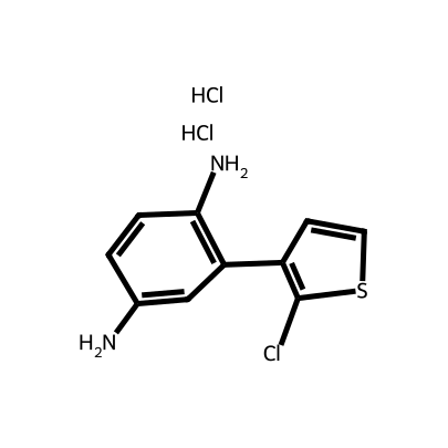 Cl.Cl.Nc1ccc(N)c(-c2ccsc2Cl)c1